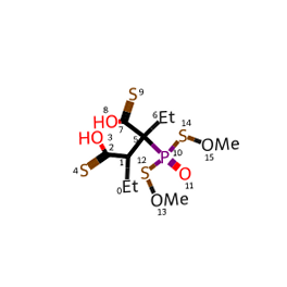 CCC(C(O)=S)C(CC)(C(O)=S)P(=O)(SOC)SOC